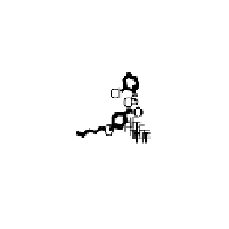 CCCCCOc1ccc(C(=O)OSc2ccccc2Cl)cc1.F.F.F.F.F